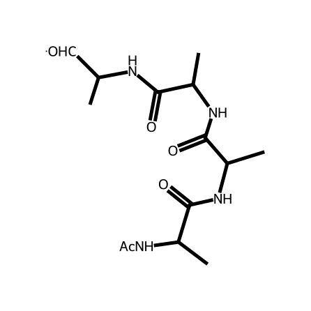 CC(=O)NC(C)C(=O)NC(C)C(=O)NC(C)C(=O)NC(C)[C]=O